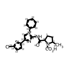 CC1CCC(C(=O)Nc2nc(-c3ccc(Cl)s3)cn2-c2ccccc2)N1C(=O)O